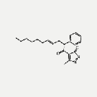 CCCCCC/C=C/CC(C(=O)C1=C(C)N=NC1=O)c1ccccc1